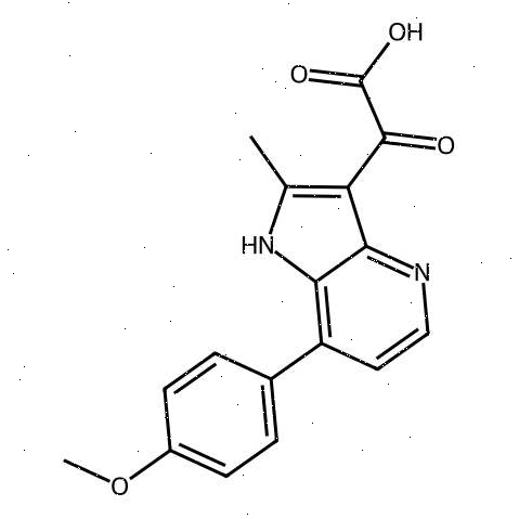 COc1ccc(-c2ccnc3c(C(=O)C(=O)O)c(C)[nH]c23)cc1